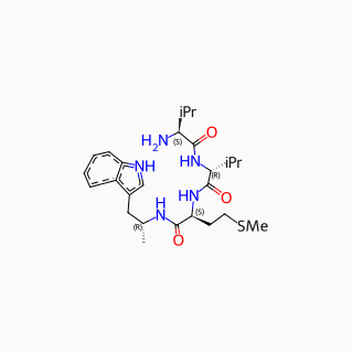 CSCC[C@H](NC(=O)[C@H](NC(=O)[C@@H](N)C(C)C)C(C)C)C(=O)N[C@H](C)Cc1c[nH]c2ccccc12